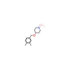 BN1CCC(OCc2ccc(C)c(C)c2)CC1